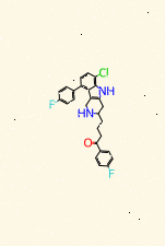 O=C(CCCC1Cc2[nH]c3c(Cl)ccc(-c4ccc(F)cc4)c3c2CN1)c1ccc(F)cc1